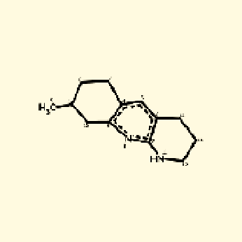 CC1CCc2cc3c(nc2C1)NCCC3